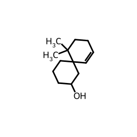 CC1(C)CCC=CC12CCCC(O)C2